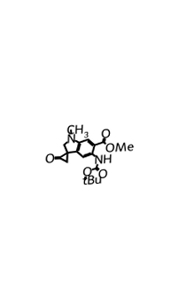 COC(=O)c1cc2c(cc1NC(=O)OC(C)(C)C)C1(CC1=O)CN2C